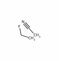 CC#N.CCF